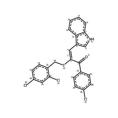 O=C(/C(=C\c1c[nH]c2ccccc12)SCc1ccc(Cl)cc1Cl)c1ccc(Cl)cc1